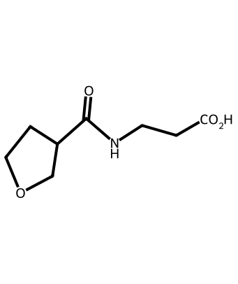 O=C(O)CCNC(=O)C1CCOC1